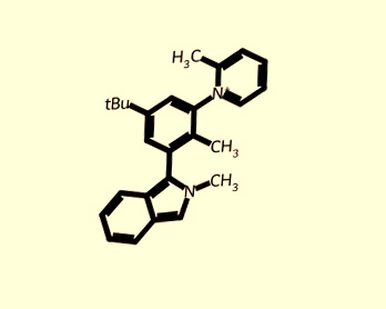 Cc1c(-c2c3ccccc3cn2C)cc(C(C)(C)C)cc1-[n+]1ccccc1C